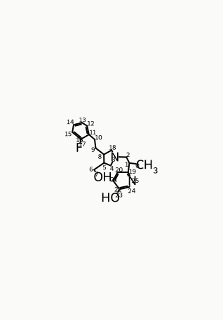 CC(CN1CC(CO)C(CCc2ccccc2F)C1)c1ccc(O)cn1